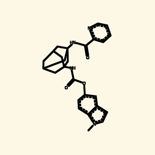 Cn1ccc2cc(OC(=O)NC34CC5CC(C3)CC(NC(=O)c3ccccn3)(C5)C4)ccc21